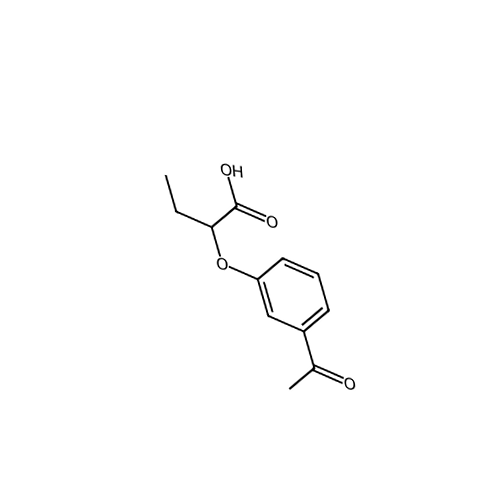 CCC(Oc1cccc(C(C)=O)c1)C(=O)O